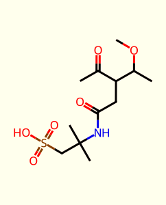 COC(C)C(CC(=O)NC(C)(C)CS(=O)(=O)O)C(C)=O